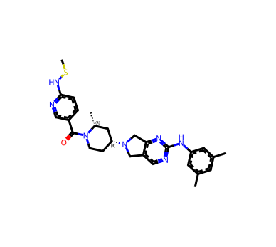 CSNc1ccc(C(=O)N2CC[C@@H](N3Cc4cnc(Nc5cc(C)cc(C)c5)nc4C3)C[C@H]2C)cn1